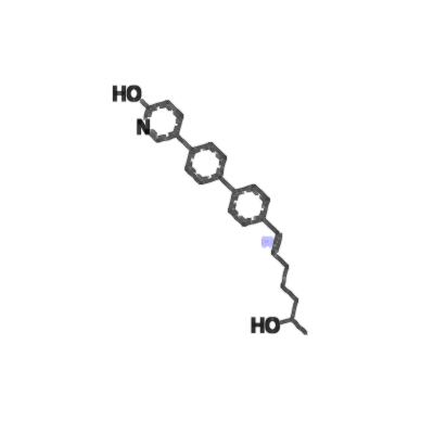 CC(O)CCC/C=C/c1ccc(-c2ccc(-c3ccc(O)nc3)cc2)cc1